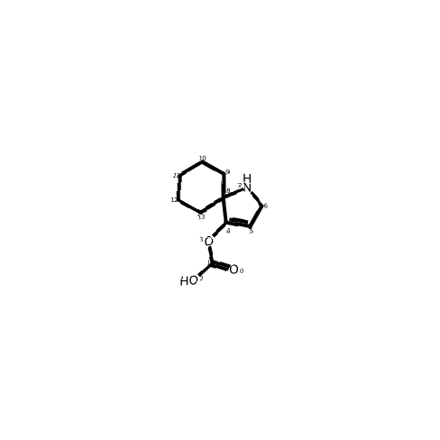 O=C(O)OC1=CCNC12CCCCC2